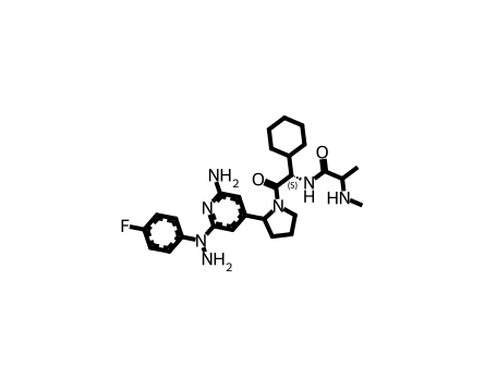 CNC(C)C(=O)N[C@H](C(=O)N1CCCC1c1cc(N)nc(N(N)c2ccc(F)cc2)c1)C1CCCCC1